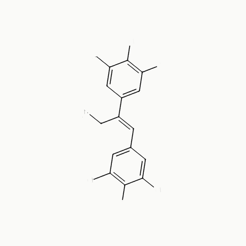 NC/C(=C\c1cc(Cl)c(Cl)c(Cl)c1)c1cc(Cl)c(Cl)c(Cl)c1